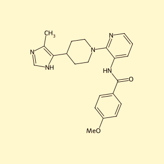 COc1ccc(C(=O)Nc2cccnc2N2CCC(c3[nH]cnc3C)CC2)cc1